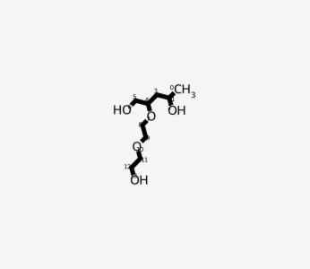 CC(O)CC(CO)OCCOCCO